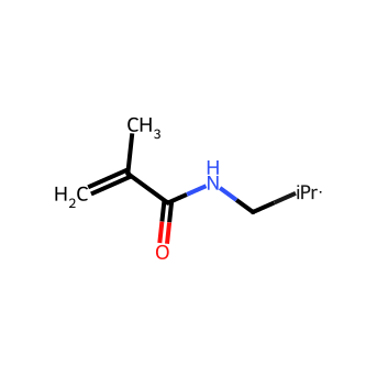 C=C(C)C(=O)NC[C](C)C